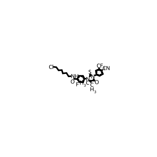 CC1(C)C(=O)N(c2ccc(C#N)c(C(F)(F)F)c2)C(=S)N1c1ccc(C(=O)NCCCCCCCl)c(F)c1